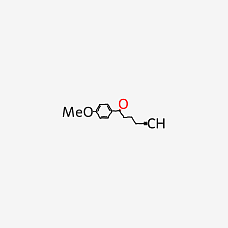 C#CCCCC(=O)c1ccc(OC)cc1